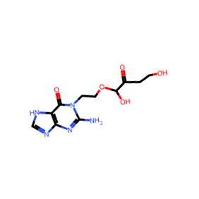 Nc1nc2nc[nH]c2c(=O)n1CCOC(O)C(=O)CCO